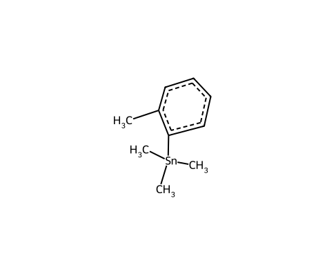 Cc1cccc[c]1[Sn]([CH3])([CH3])[CH3]